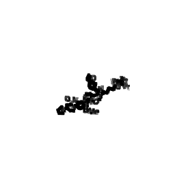 COCn1c(CCCCO[Si](C(C)C)(C(C)C)C(C)C)nc(-c2ccc3ccoc3c2)c1-c1ccnc(Nc2cc([N+](=O)[O-])c(N3CCC(N4CCCC4)CC3)cc2OC)n1